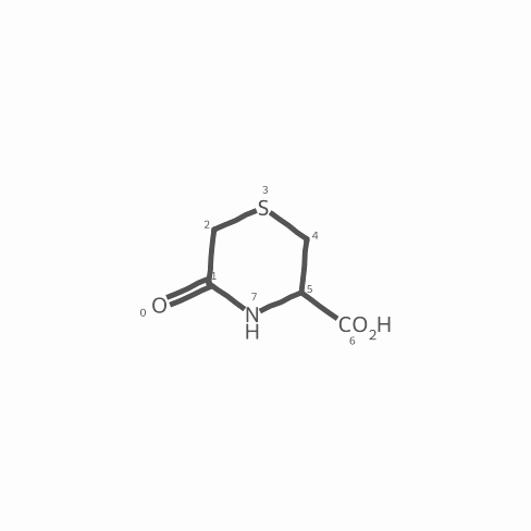 O=C1CSCC(C(=O)O)N1